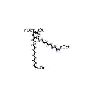 CCCCCCCC/C=C\CCCCCCCCOCC(CN(CCCCCCCC)C(=O)C(C)(C)C)OCCCCCCCC/C=C\CCCCCCCC